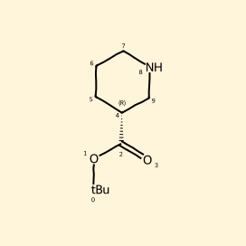 CC(C)(C)OC(=O)[C@@H]1CCCNC1